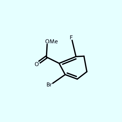 COC(=O)C1=C(F)CCC=C1Br